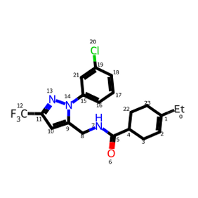 CCC1=CCC(C(=O)NCc2cc(C(F)(F)F)nn2-c2cccc(Cl)c2)CC1